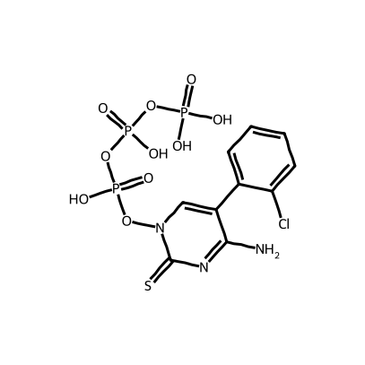 Nc1nc(=S)n(OP(=O)(O)OP(=O)(O)OP(=O)(O)O)cc1-c1ccccc1Cl